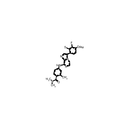 COc1ccc(-c2cnc3c(Nc4ccc(C(=O)N(C)C)c(C)c4)nccn23)c(F)c1F